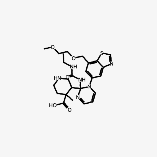 CCNC(=O)NC1(C2CNCCC2(C)C(=O)O)N=CC=CN1c1cc(COCCOC)c2scnc2c1